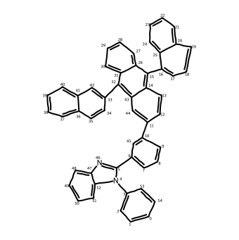 c1ccc(-n2c(-c3cccc(-c4ccc5c(-c6cccc7ccccc67)c6ccccc6c(-c6ccc7ccccc7c6)c5c4)c3)nc3ccccc32)cc1